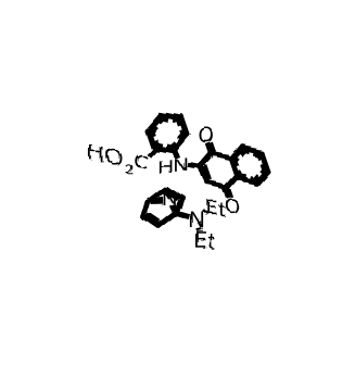 CCN(CC)C12C=CC(=N1)C=C2.O=C(O)c1ccccc1NC1=CC(=O)c2ccccc2C1=O